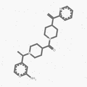 C=C(c1ccccn1)C1CCN(C(=O)C2CCN(C(C)c3ccnc(N)c3)CC2)CC1